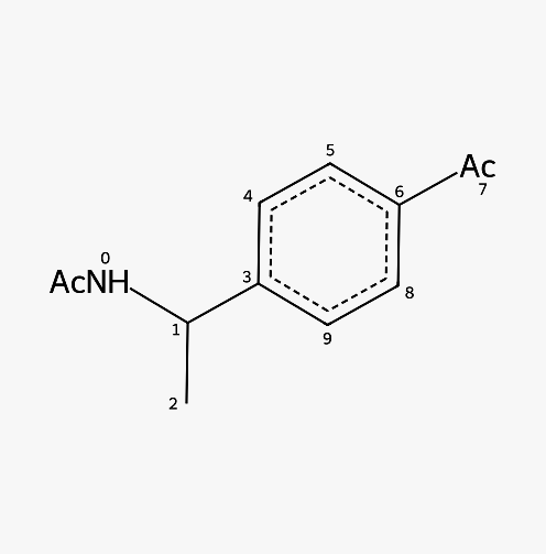 CC(=O)NC(C)c1ccc(C(C)=O)cc1